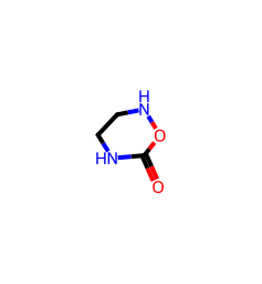 O=C1NCCNO1